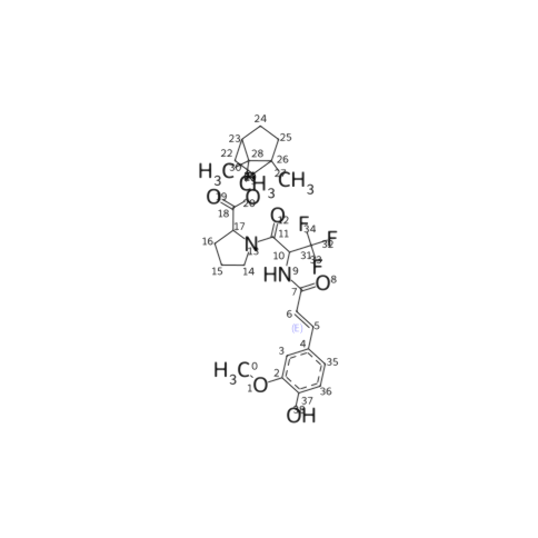 COc1cc(/C=C/C(=O)NC(C(=O)N2CCCC2C(=O)O[C@@H]2CC3CCC2(C)C3(C)C)C(F)(F)F)ccc1O